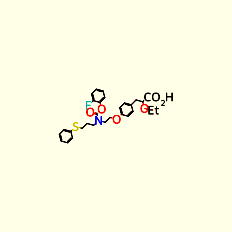 CCOC(Cc1ccc(OCCN(CCCSc2ccccc2)C(=O)Oc2ccccc2F)cc1)C(=O)O